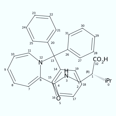 CC(C)[C@H](CNC(=O)C1=CC=CC=CN1C(c1ccccc1)(c1ccccc1)c1ccccc1)C(=O)O